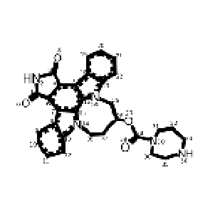 O=C1NC(=O)c2c1c1c3ccccc3n3c1c1c2c2ccccc2n1CC(OC(=O)N1CCCNCC1)CC3